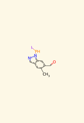 Cc1cc2cnn(PI)c2cc1C=O